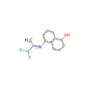 C/C(=N\c1cccc2c(O)cccc12)C(F)F